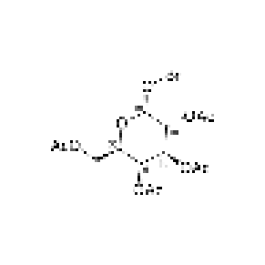 CC(=O)OC[C@H]1O[C@H](OBr)[C@H](OC(C)=O)[C@@H](OC(C)=O)[C@H]1OC(C)=O